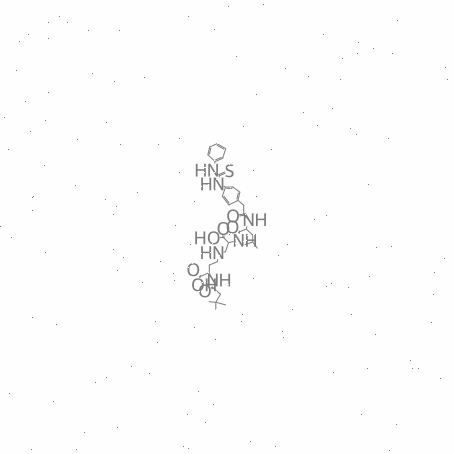 CC(C)CC(NC(=O)Cc1ccc(NC(=S)Nc2ccccc2)cc1)C(=O)NC(CNCCC(NC(=O)CC(C)(C)C)C(=O)O)C(=O)O